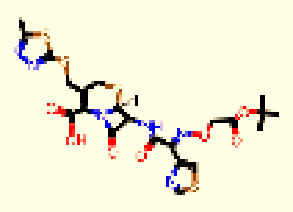 Cc1nnc(SCC2=C(C(=O)O)N3C(=O)C(NC(=O)C(=NOCC(=O)OC(C)(C)C)c4cscn4)[C@@H]3SC2)s1